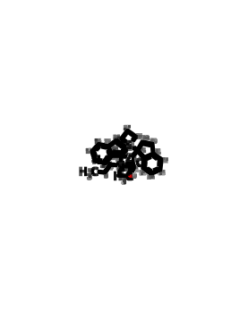 C[CH]=[Zr]([Cl])([Cl])([C]1([Si]2(CCC)CCC2)C=Cc2ccccc21)[C]1([Si]2(CCC)CCC2)C=Cc2ccccc21